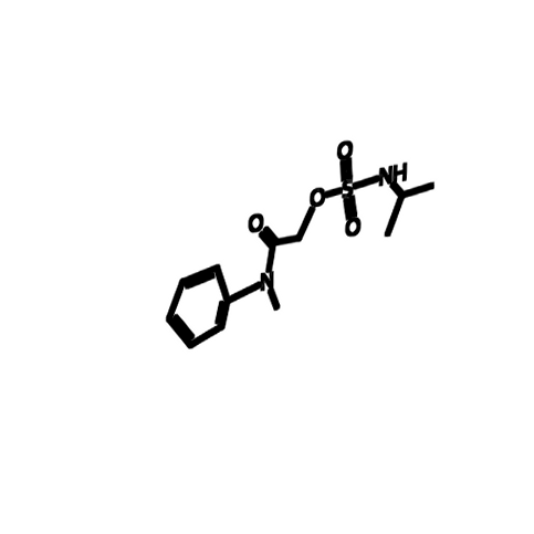 CC(C)NS(=O)(=O)OCC(=O)N(C)c1ccccc1